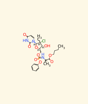 CCCCOC(=O)[C@@H](C)N[P@@](=O)(OC[C@H]1O[C@@H](n2ccc(=O)[nH]c2=O)[C@](C)(Cl)[C@@H]1O)Oc1ccccc1